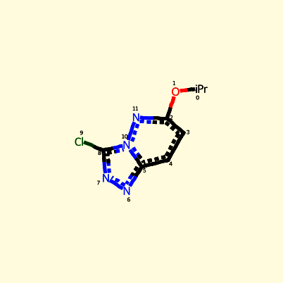 CC(C)Oc1ccc2nnc(Cl)n2n1